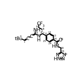 CC(C)(C)C=C=C=C(N)N[C@H](CCC(F)(F)F)c1ccc(C(=O)NCc2nn[nH]n2)cc1